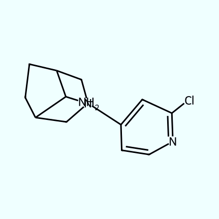 NC1C2CCC1CN(c1ccnc(Cl)c1)C2